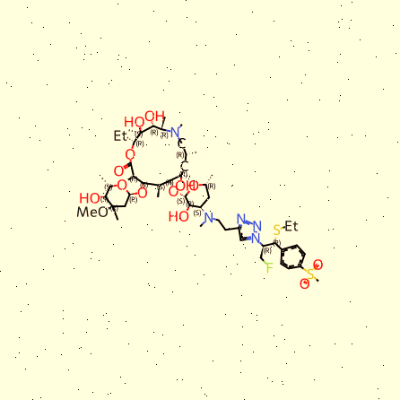 CCS[C@H](c1ccc(S(C)(=O)=O)cc1)[C@@H](CF)n1cc(CCN(C)[C@H]2C[C@@H](C)O[C@@H](O[C@@H]3[C@@H](C)[C@H](O[C@H]4C[C@@](C)(OC)[C@@H](O)[C@H](C)O4)[C@@H](C)C(=O)O[C@H](CC)[C@@](C)(O)[C@H](O)[C@@H](C)N(C)C[C@H](C)C[C@@]3(C)O)[C@@H]2O)nn1